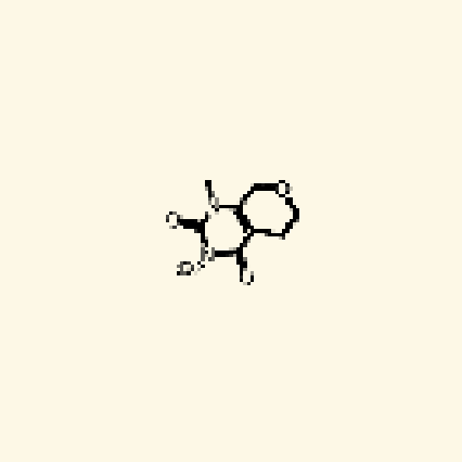 Cn1c2c(c(=O)n(C(C)(C)C)c1=O)CCOC2